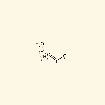 C.O.O.O=CO